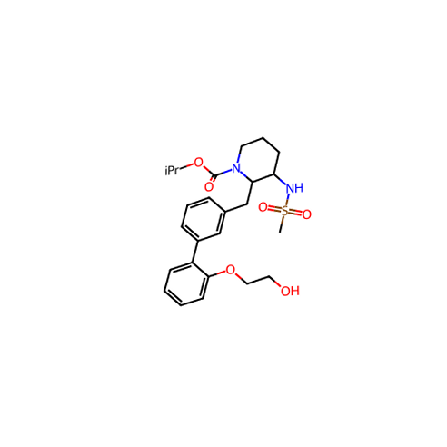 CC(C)OC(=O)N1CCCC(NS(C)(=O)=O)C1Cc1cccc(-c2ccccc2OCCO)c1